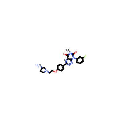 Cn1c(=O)c2nc(-c3ccc(OCCN4CCC(N)C4)cc3)nnc2n(-c2cccc(F)c2)c1=O